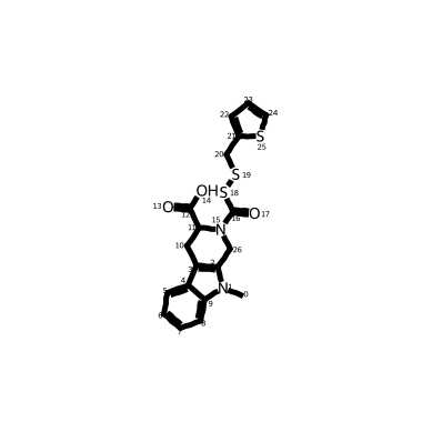 Cn1c2c(c3ccccc31)CC(C(=O)O)N(C(=O)SSCc1cccs1)C2